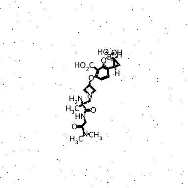 CN(C)C(=O)CNC(=O)C(C)(N)CN1CC(Oc2ccc3c(c2C(=O)O)O[B-](O)(O)[C@@H]2C[C@H]32)C1